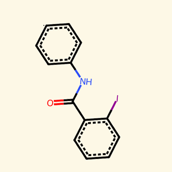 O=C(Nc1cc[c]cc1)c1ccccc1I